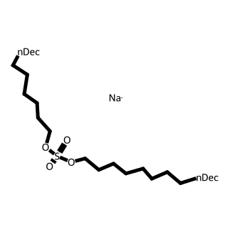 CCCCCCCCCCCCCCCCCCOS(=O)(=O)OCCCCCCCCCCCCCCCC.[Na]